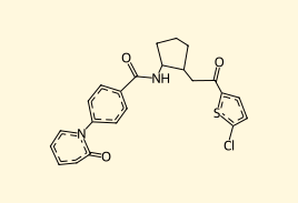 O=C(NC1CCCC1CC(=O)c1ccc(Cl)s1)c1ccc(-n2ccccc2=O)cc1